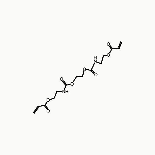 C=CC(=O)OCCNC(=O)OCCOC(=O)NCCOC(=O)C=C